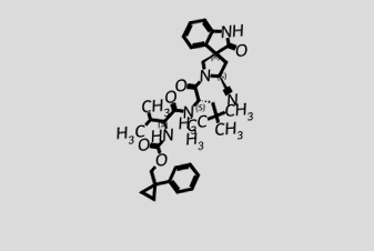 CC(C)[C@H](NC(=O)OCC1(c2ccccc2)CC1)C(=O)N(C)[C@@H](CC(C)(C)C)C(=O)N1C[C@]2(C[C@H]1C#N)C(=O)Nc1ccccc12